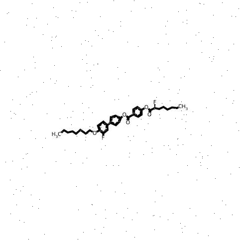 CCCCCCCCOc1ccc(-c2ccc(OC(=O)c3ccc(OC(=O)[C@@H](F)CCCCCC)cc3)cc2)cc1F